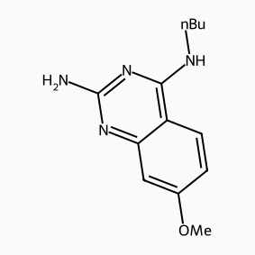 CCCCNc1nc(N)nc2cc(OC)ccc12